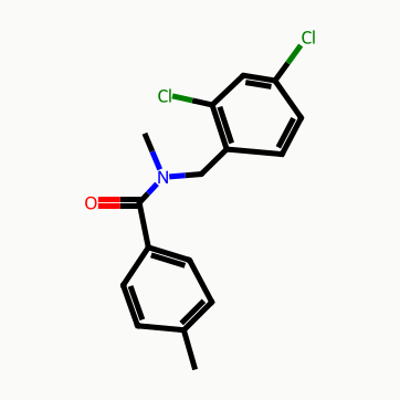 Cc1ccc(C(=O)N(C)Cc2ccc(Cl)cc2Cl)cc1